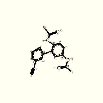 C#Cc1cccc(-c2cc(OC(C)=O)ccc2OC(C)=O)c1